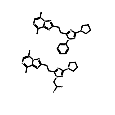 Cc1ncc(C)n2nc(CCc3nc(N4CCCC4)nn3-c3ccccc3)nc12.Cc1ncc(C)n2nc(CCc3nc(N4CCCC4)nn3CC(F)F)nc12